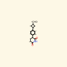 O=CC1CC(c2ccc(C3CCC(=O)NC3=O)cc2)C1